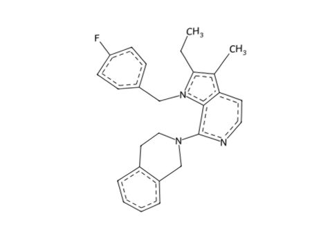 CCc1c(C)c2ccnc(N3CCc4ccccc4C3)c2n1Cc1ccc(F)cc1